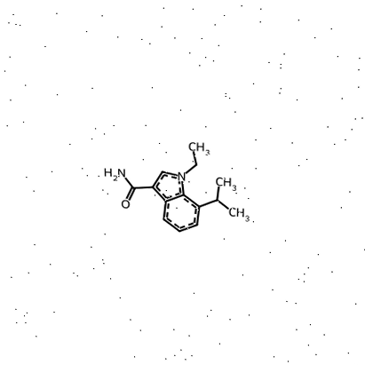 CCn1cc(C(N)=O)c2cccc(C(C)C)c21